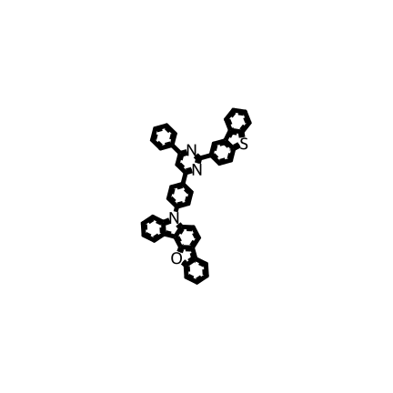 c1ccc(-c2cc(-c3ccc(-n4c5ccccc5c5c6oc7ccccc7c6ccc54)cc3)nc(-c3ccc4sc5ccccc5c4c3)n2)cc1